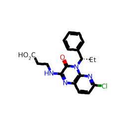 CC[C@@H](c1ccccc1)n1c(=O)c(NCCC(=O)O)nc2ccc(Cl)nc21